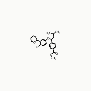 COC(=O)c1ccc(C(CC(C)C)Oc2ccc(Br)c(C3OCCCO3)c2)cc1